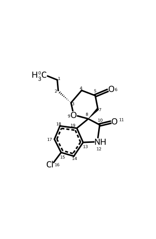 CCC[C@@H]1CC(=O)C[C@@]2(O1)C(=O)Nc1cc(Cl)ccc12